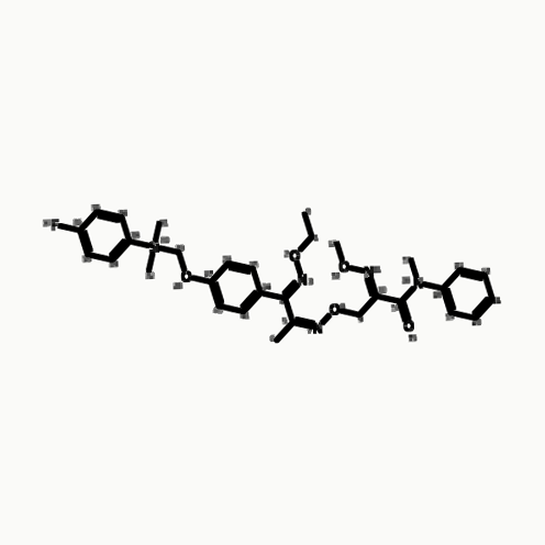 CCON=C(C(C)=NOCC(=NOC)C(=O)N(C)c1ccccc1)c1ccc(OC[Si](C)(C)c2ccc(F)cc2)cc1